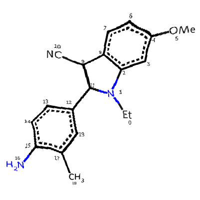 CCN1c2cc(OC)ccc2C(C#N)C1c1ccc(N)c(C)c1